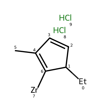 CCC1C=CC(C)=[C]1[Zr].Cl.Cl